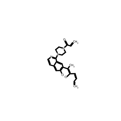 C=C/C=C\C(Cl)=C(/C)c1cc2c(N3CCN(C(=O)C=C)CC3)nccc2cc1Cl